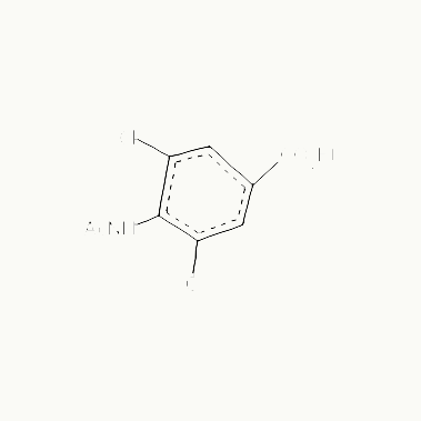 CCOC(=O)c1cc(Cl)c(NC(C)=O)c(Cl)c1